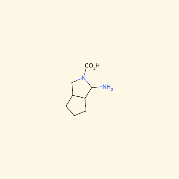 NC1C2CCCC2CN1C(=O)O